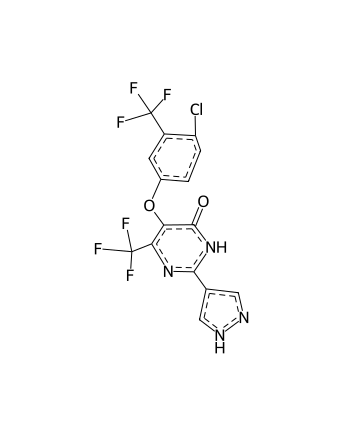 O=c1[nH]c(-c2cn[nH]c2)nc(C(F)(F)F)c1Oc1ccc(Cl)c(C(F)(F)F)c1